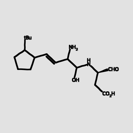 CC(C)(C)C1CCCC1C=CC(N)C(O)N[C@@H](C=O)CC(=O)O